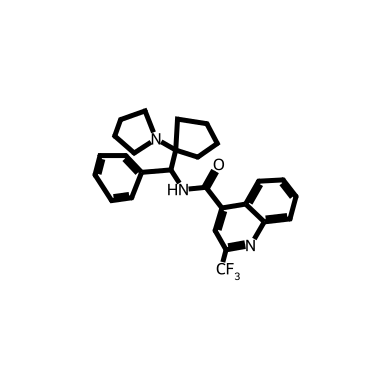 O=C(NC(c1ccccc1)C1(N2CCCC2)CCCC1)c1cc(C(F)(F)F)nc2ccccc12